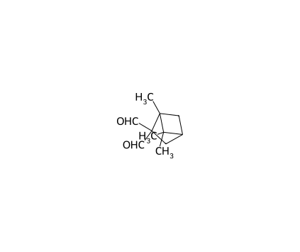 CC1(C)C2CC(C=O)(C=O)C1(C)C2